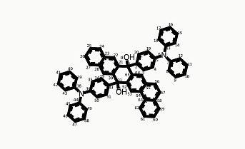 OC1(c2ccc(N(c3ccccc3)c3ccccc3)cc2)c2cc3ccccc3cc2C(O)(c2ccc(N(c3ccccc3)c3ccccc3)cc2)c2cc3c(ccc4ccccc43)cc21